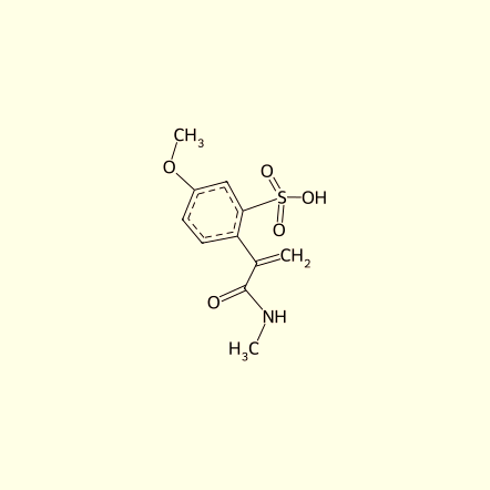 C=C(C(=O)NC)c1ccc(OC)cc1S(=O)(=O)O